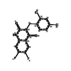 O=c1[nH]c2cc(F)c(F)cc2c(=O)n1Cc1ccc(Cl)cc1Cl